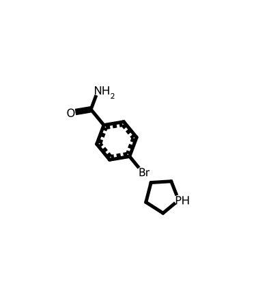 C1CCPC1.NC(=O)c1ccc(Br)cc1